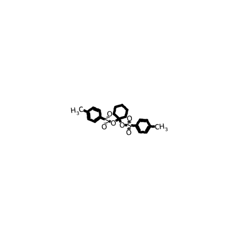 Cc1ccc(S(=O)(=O)OC2(OS(=O)(=O)c3ccc(C)cc3)CCCCC2)cc1